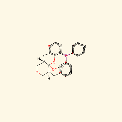 c1ccc(P(c2ccccc2)c2cccc3c2OC24Oc5c(cccc5P(c5ccccc5)c5ccccc5)C[C@H]2COC[C@@H]4C3)cc1